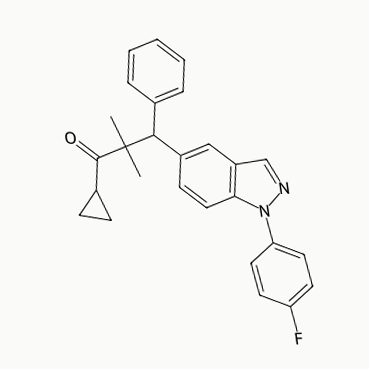 CC(C)(C(=O)C1CC1)C(c1ccccc1)c1ccc2c(cnn2-c2ccc(F)cc2)c1